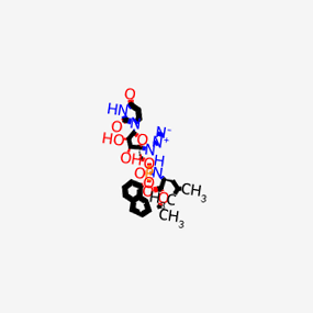 CCOC(=O)[C@H](CC(C)C)NP(=O)(OC[C@@]1(N=[N+]=[N-])O[C@@H](n2ccc(=O)[nH]c2=O)[C@H](O)[C@@H]1O)Oc1cccc2ccccc12